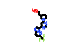 OCCC1CCCN(c2cc(-c3cnc4ccc(C(F)(F)F)nn34)ncn2)C1